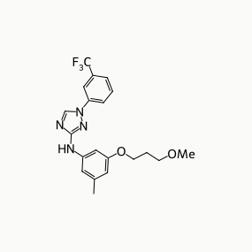 COCCCOc1cc(C)cc(Nc2ncn(-c3cccc(C(F)(F)F)c3)n2)c1